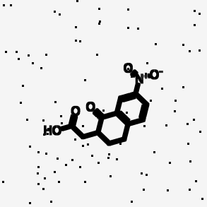 O=C(O)CC1CCc2ccc([N+](=O)[O-])cc2C1=O